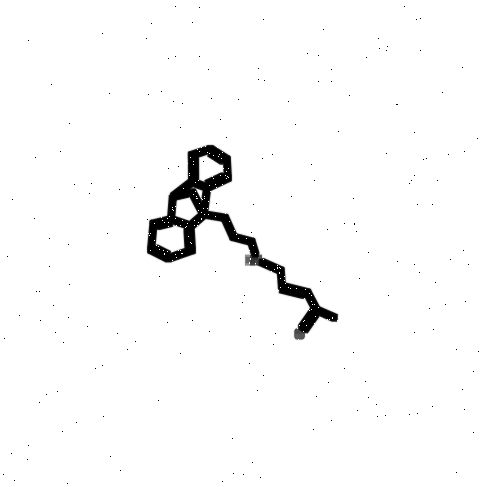 CC(=O)C=CCNCCCC12CC(c3ccccc31)c1ccccc12